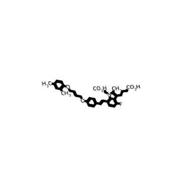 Cc1ccc(OC/C=C/COc2ccc(C=Cc3ccc(F)c4c(CCCC(=O)O)c(C)n(CC(=O)O)c34)cc2)c(C)c1